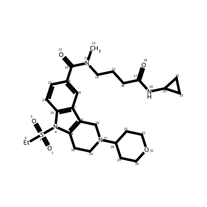 CCS(=O)(=O)n1c2c(c3cc(C(=O)N(C)CCCC(=O)NC4CC4)ccc31)CN(C1CCOCC1)CC2